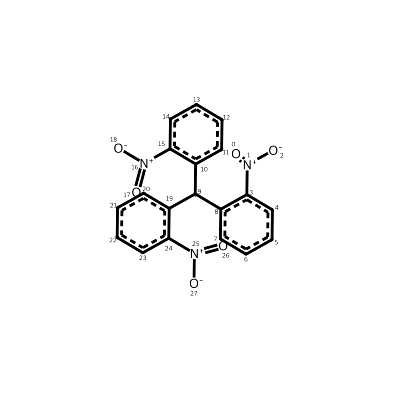 O=[N+]([O-])c1ccccc1[C](c1ccccc1[N+](=O)[O-])c1ccccc1[N+](=O)[O-]